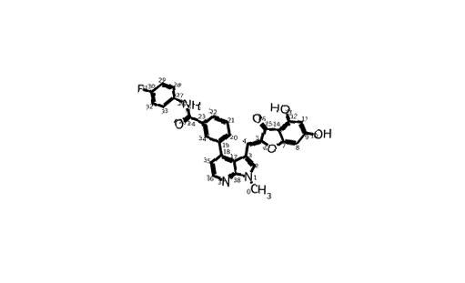 Cn1cc(C=C2Oc3cc(O)cc(O)c3C2=O)c2c(-c3cccc(C(=O)Nc4ccc(F)cc4)c3)ccnc21